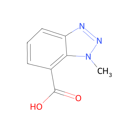 Cn1nnc2cccc(C(=O)O)c21